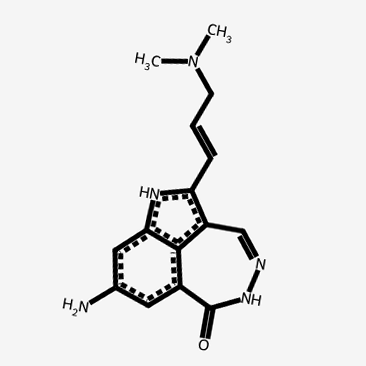 CN(C)CC=Cc1[nH]c2cc(N)cc3c2c1C=NNC3=O